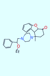 CCOC(CN1CCN(C2(C)CCC(=O)C3Oc4ccccc4C32)CC1)c1ccccc1